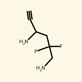 C#CC(N)CC(F)(F)CN